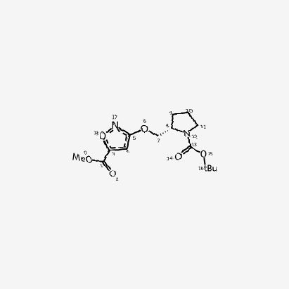 COC(=O)c1cc(OC[C@@H]2CCCN2C(=O)OC(C)(C)C)no1